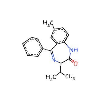 Cc1ccc2c(c1)C(c1ccccc1)=NC(C(C)C)C(=O)N2